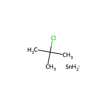 CC(C)(C)Cl.[SnH2]